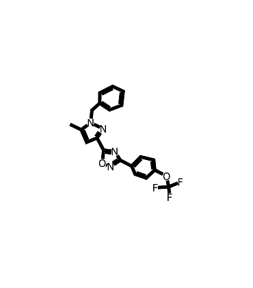 Cc1cc(-c2nc(-c3ccc(OC(F)(F)F)cc3)no2)nn1Cc1ccccc1